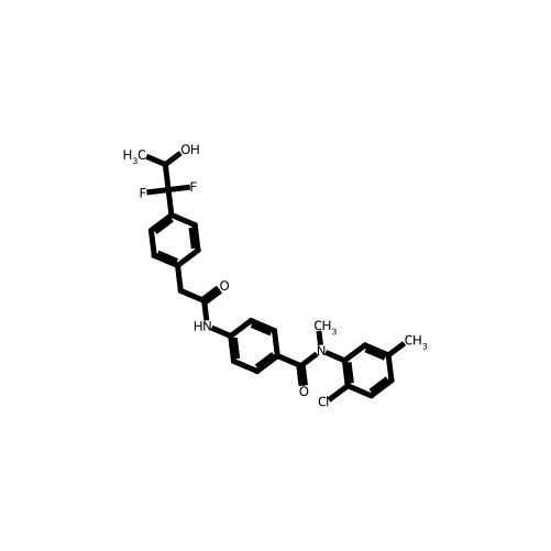 Cc1ccc(Cl)c(N(C)C(=O)c2ccc(NC(=O)Cc3ccc(C(F)(F)C(C)O)cc3)cc2)c1